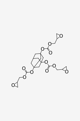 O=C(OCC1CO1)OC12CC3CC(OC(=O)OCC4CO4)(C1)CC(OC(=O)OCC1CO1)(C3)C2